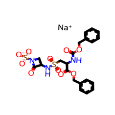 O=C(NC(CS(=O)(=O)NC1CN(S(=O)(=O)[O-])C1=O)C(=O)OCc1ccccc1)OCc1ccccc1.[Na+]